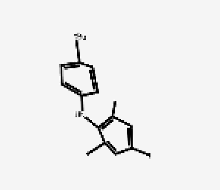 Cc1cc(I)cc(C)c1Nc1ccc(C(C)(C)C)cc1